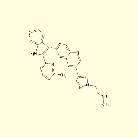 CNCCn1cc(-c2cnc3ccc(-c4c(-c5cccc(C)n5)[nH]c5ccccc45)cc3c2)cn1